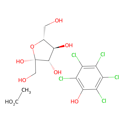 CC(=O)O.OC[C@H]1O[C@](O)(CO)[C@@H](O)[C@@H]1O.Oc1c(Cl)c(Cl)c(Cl)c(Cl)c1Cl